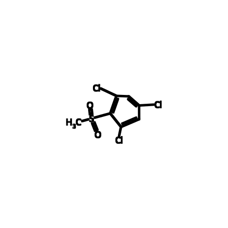 CS(=O)(=O)c1c(Cl)cc(Cl)cc1Cl